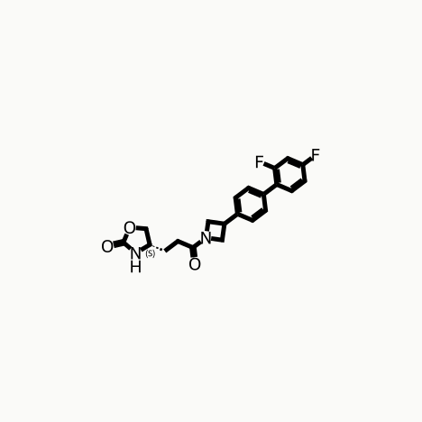 O=C1N[C@@H](CCC(=O)N2CC(c3ccc(-c4ccc(F)cc4F)cc3)C2)CO1